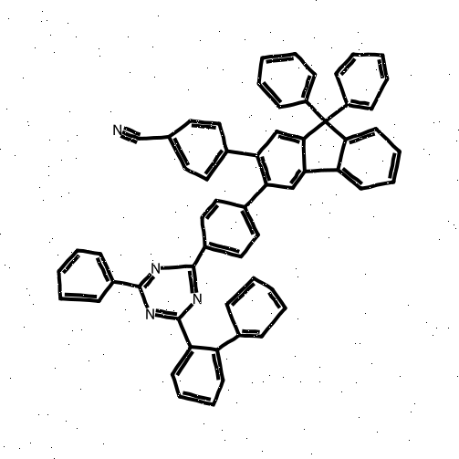 N#Cc1ccc(-c2cc3c(cc2-c2ccc(-c4nc(-c5ccccc5)nc(-c5ccccc5-c5ccccc5)n4)cc2)-c2ccccc2C3(c2ccccc2)c2ccccc2)cc1